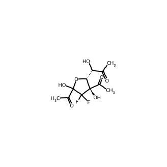 CC(=O)C(O)[C@H]1OC(O)(C(C)=O)C(F)(F)[C@@]1(O)C(C)=O